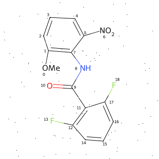 COc1cccc([N+](=O)[O-])c1NC(=O)c1c(F)cccc1F